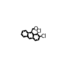 O=Cc1c2ccccc2cc2ccc(Cl)c(Cl)c12